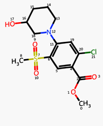 COC(=O)c1cc(S(C)(=O)=O)c(N2CCCC(O)C2)cc1Cl